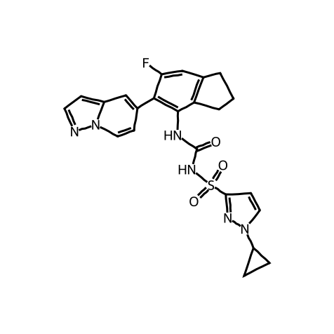 O=C(Nc1c2c(cc(F)c1-c1ccn3nccc3c1)CCC2)NS(=O)(=O)c1ccn(C2CC2)n1